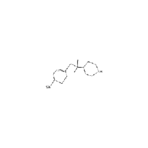 CC(C)(C)C1CC=C(CC(C)(C)C2CCNCC2)CC1